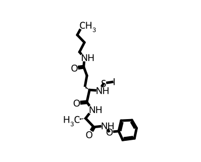 CCCCNC(=O)CC[C@H](NSI)C(=O)N[C@@H](C)C(=O)NOc1ccccc1